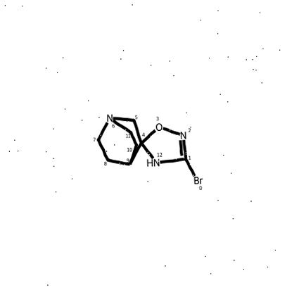 BrC1=NOC2(CN3CCC2CC3)N1